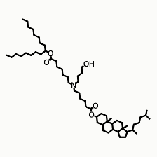 CCCCCCCCC(CCCCCCCC)OC(=O)CCCCCCN(CCCCO)CCCCCC(=O)OC1CCC2(C)C(=CCC3C2CCC2(C)C(C(C)CCCC(C)C)CCC32)C1